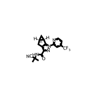 CC(C)(C#N)NC(=O)c1nn(-c2cc(C(F)(F)F)ccn2)c2c1C[C@H]1C[C@@H]21